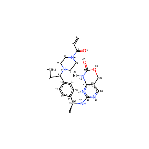 C=CC(=O)N1CCN(C(CC(C)(C)C)c2ccc([C@H](C)Nc3ncc4c(n3)N(CC)C(=O)OC4)cc2)CC1